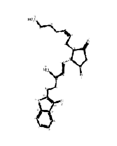 CC[C@@H]1CC(=O)[C@H](C/C=C\CCCC(=O)O)[C@H]1/C=C/C(O)CCc1sc2ccccc2c1Cl